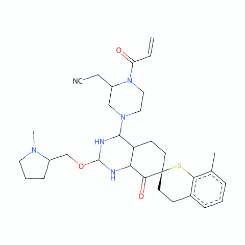 C=CC(=O)N1CCN(C2NC(OCC3CCCN3C)NC3C(=O)[C@]4(CCc5cccc(C)c5S4)CCC32)CC1CC#N